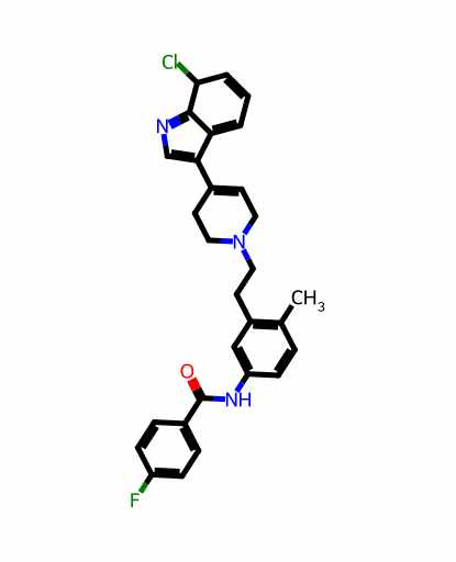 Cc1ccc(NC(=O)c2ccc(F)cc2)cc1CCN1CC=C(C2=CN=C3C2=CC=CC3Cl)CC1